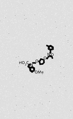 COc1ccc2cc(C(=O)O)n(CCOC3CCCC(OCc4nc(-c5cccc(C)c5)oc4C)C3)c2c1